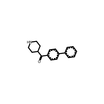 O=C(c1ccc(-c2ccccc2)cc1)C1CCNCC1